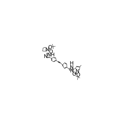 CC1=CC(c2ncc(-c3ccc(C#Cc4ccc(-c5cnc([C@@H]6CCCN6C(=O)OC(C)(C)C)[nH]5)cc4)cc3)[nH]2)N(C(=O)OC(C)(C)C)C1